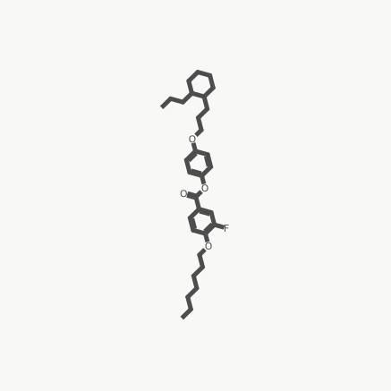 CCCCCCCOc1ccc(C(=O)Oc2ccc(OCCCC3CCCCC3CCC)cc2)cc1F